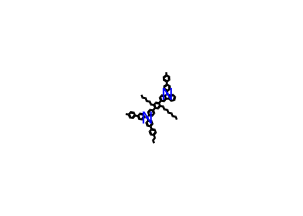 CCCCCCCCc1cc(-c2ccc(N(c3ccc(-c4ccc(C)cc4)cc3)c3ccc(-c4ccc(CCC)cc4)cc3)cc2)c(CCCCCC)cc1-c1ccc2c(c1)c1ccccc1n2-c1ccc(-c2ccc(C)cc2)cc1